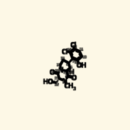 CN1C(=O)[C@@H]2C[C@H](c3c(O)ccc(Cl)c3Cl)CCN2C(=O)[C@H]1CO